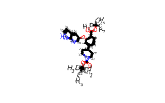 CC(C)(C)OC(=O)c1ccc(C2=CCN(C(=O)OC(C)(C)C)CC2)cc1Oc1cnc2[nH]ccc2c1